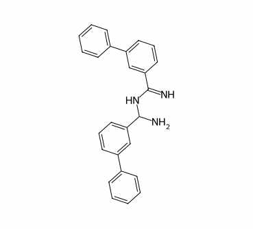 N=C(NC(N)c1cccc(-c2ccccc2)c1)c1cccc(-c2ccccc2)c1